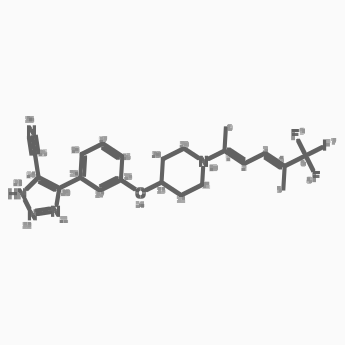 C/C(=C\C=C(/C)C(F)(F)F)N1CCC(Oc2cccc(-c3nn[nH]c3C#N)c2)CC1